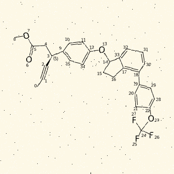 CC#C[C@@H](CC(=O)OC)c1ccc(OC2CCc3c(-c4ccc(OC(F)(F)F)cc4)cccc32)cc1